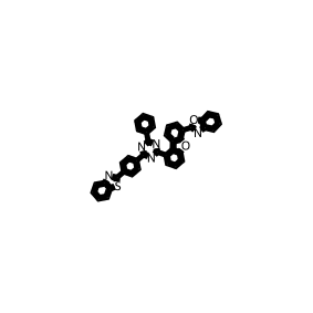 c1ccc(-c2nc(-c3ccc(-c4nc5ccccc5s4)cc3)nc(-c3cccc4oc5c(-c6nc7ccccc7o6)cccc5c34)n2)cc1